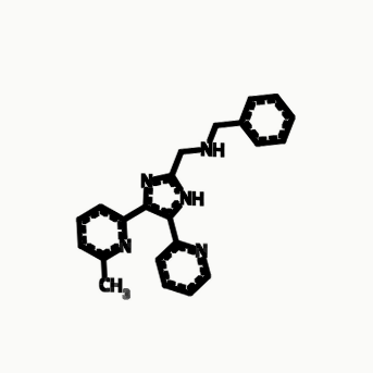 Cc1cccc(-c2nc(CNCc3ccccc3)[nH]c2-c2ccccn2)n1